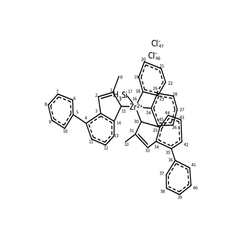 CC1=Cc2c(-c3ccccc3)cccc2[CH]1[Zr+2]([SiH3])([c]1ccccc1)([c]1ccccc1)[CH]1C(C)=Cc2c(-c3ccccc3)cccc21.[Cl-].[Cl-]